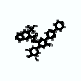 C[C@@H]1CN(c2cc(F)c(-c3cnc(N4CCOCC4)nc3)cc2NC(=O)c2cn3cnnc3cc2C(F)(F)F)C[C@H](C)N1C